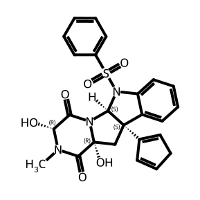 CN1C(=O)[C@]2(O)C[C@]3(C4=CCC=C4)c4ccccc4N(S(=O)(=O)c4ccccc4)[C@@H]3N2C(=O)[C@H]1O